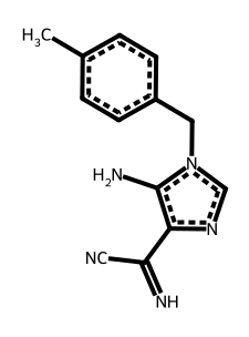 Cc1ccc(Cn2cnc(C(=N)C#N)c2N)cc1